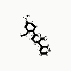 CCc1cc(SC)ccc1-c1ccc(-c2cccnc2)c(=O)o1